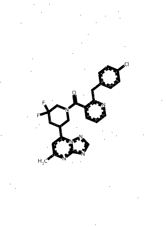 Cc1cc(C2CN(C(=O)c3cccnc3Cc3ccc(Cl)cc3)CC(F)(F)C2)n2ncnc2n1